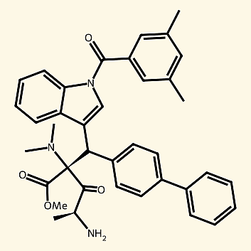 COC(=O)[C@](C(=O)[C@H](C)N)(C(c1ccc(-c2ccccc2)cc1)c1cn(C(=O)c2cc(C)cc(C)c2)c2ccccc12)N(C)C